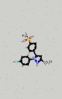 CCOC(=O)c1cc(-c2ccc(S(C)(=O)=O)cc2)n(-c2ccc(F)cc2)n1